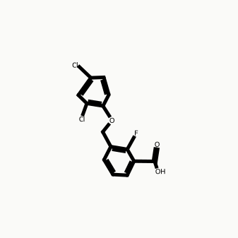 O=C(O)c1cccc(COc2ccc(Cl)cc2Cl)c1F